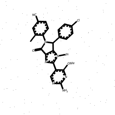 COc1nc(N)ncc1-c1nc2c(n1C(C)C)C(c1ccc(Cl)cc1)N(c1ccc(C#N)cc1C)C2=O